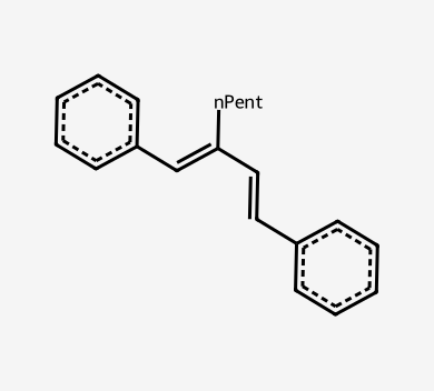 CCCCCC(C=Cc1ccccc1)=Cc1ccccc1